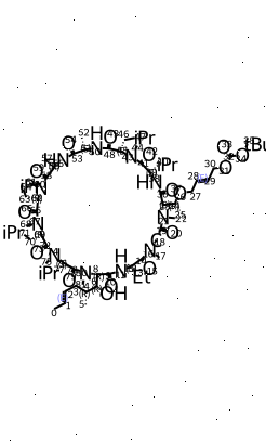 C/C=C/C[C@@H](C)[C@@H](O)[C@@H]1C(=O)N[C@@H](CC)C(=O)N(C)CC(=O)N(C)[C@@H]([C@@H](C)OC/C=C/COC(=O)OC(C)(C)C)C(=O)N[C@@H](C(C)C)C(=O)N(C)[C@@H](CC(C)C)C(=O)N[C@@H](C)C(=O)N[C@H](C)C(=O)N(C)[C@@H](CC(C)C)C(=O)N(C)[C@@H](CC(C)C)C(=O)N(C)[C@@H](C(C)C)C(=O)N1C